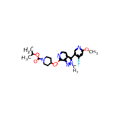 COc1cc(F)c(-c2c3ccnc(OC4CCN(C(=O)OC(C)C)CC4)c3nn2C)cn1